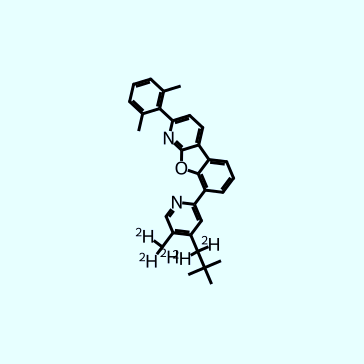 [2H]C([2H])([2H])c1cnc(-c2cccc3c2oc2nc(-c4c(C)cccc4C)ccc23)cc1C([2H])([2H])C(C)(C)C